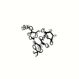 CC(OC(=O)[C@@H]1OC(C)(C)O[C@H]1C(=O)ON1C(=O)CCC1=O)C(=O)OC(C)(C)C